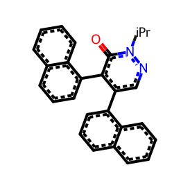 CC(C)n1ncc(-c2cccc3ccccc23)c(-c2cccc3ccccc23)c1=O